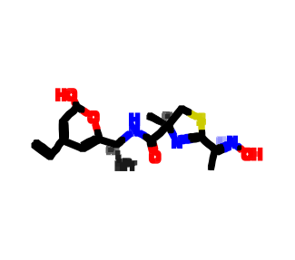 C=CC1=CC(O)OC([C@@H](CCC)NC(=O)[C@]2(C)CSC(/C(C)=N/O)=N2)=C1